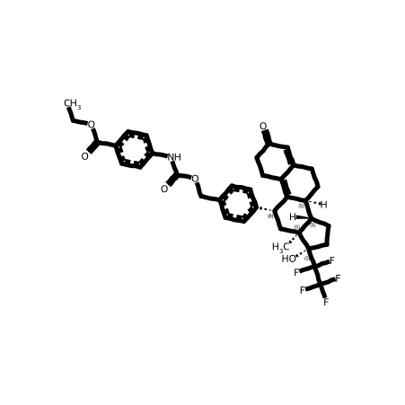 CCOC(=O)c1ccc(NC(=O)OCc2ccc([C@H]3C[C@@]4(C)[C@@H](CC[C@@]4(O)C(F)(F)C(F)(F)F)[C@@H]4CCC5=CC(=O)CCC5=C43)cc2)cc1